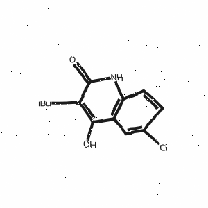 CCC(C)c1c(O)c2cc(Cl)ccc2[nH]c1=O